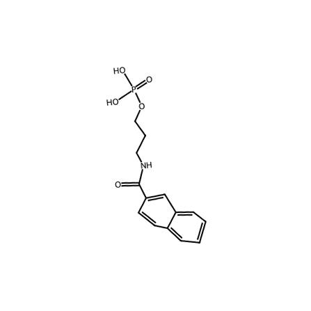 O=C(NCCCOP(=O)(O)O)c1ccc2ccccc2c1